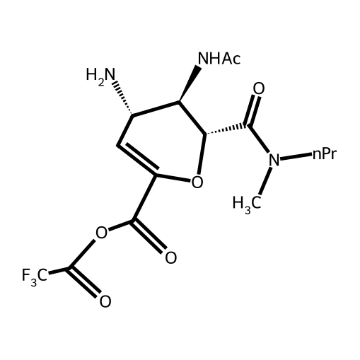 CCCN(C)C(=O)[C@@H]1OC(C(=O)OC(=O)C(F)(F)F)=C[C@H](N)[C@H]1NC(C)=O